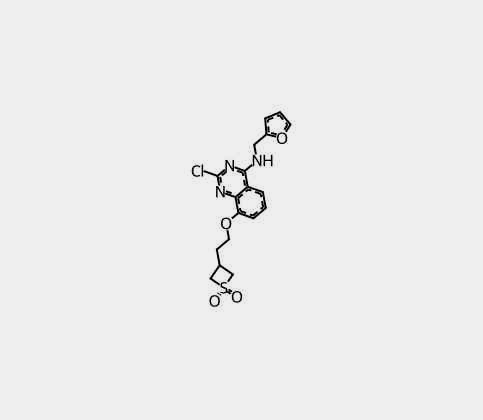 O=S1(=O)CC(CCOc2cccc3c(NCc4ccco4)nc(Cl)nc23)C1